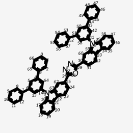 c1ccc(-c2cc(-c3ccccc3)cc(-n3c4ccccc4c4ccc(-c5nnc(-c6ccc7c8ccccc8n(-c8cc(-c9ccccc9)cc(-c9ccccc9)c8)c7c6)o5)cc43)c2)cc1